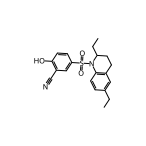 CCc1ccc2c(c1)CCC(CC)N2S(=O)(=O)c1ccc(O)c(C#N)c1